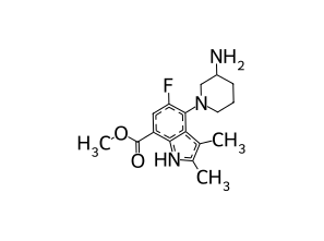 COC(=O)c1cc(F)c(N2CCCC(N)C2)c2c(C)c(C)[nH]c12